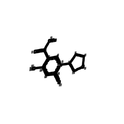 COC(=O)c1cn(C2CCOC2)c(=O)cc1O